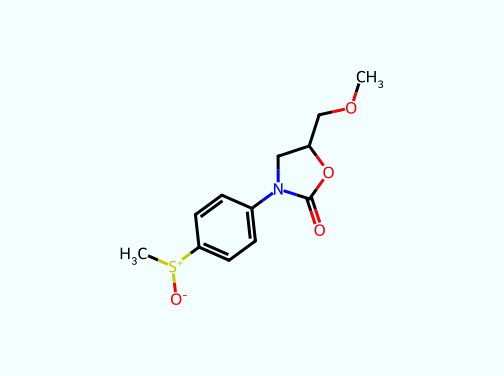 COCC1CN(c2ccc([S+](C)[O-])cc2)C(=O)O1